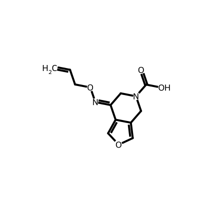 C=CCO/N=C1\CN(C(=O)O)Cc2cocc21